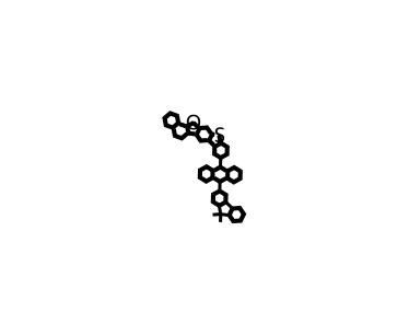 CC1(C)c2ccccc2-c2cc(-c3c4ccccc4c(-c4ccc5sc6cc7oc8c9ccccc9ccc8c7cc6c5c4)c4ccccc34)ccc21